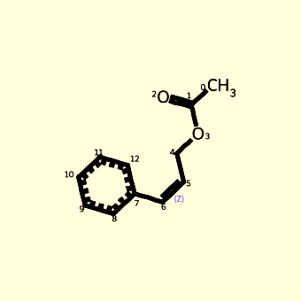 CC(=O)OC/C=C\c1ccccc1